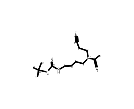 CC(=O)N(CCC#N)CCCCNC(=O)OC(C)(C)C